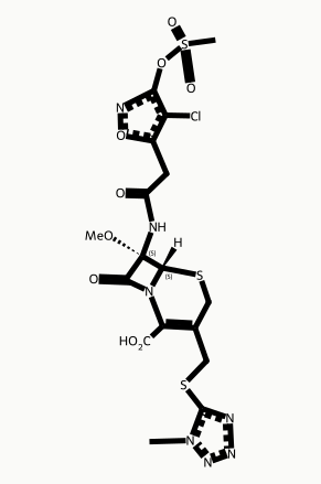 CO[C@@]1(NC(=O)Cc2onc(OS(C)(=O)=O)c2Cl)C(=O)N2C(C(=O)O)=C(CSc3nnnn3C)CS[C@H]21